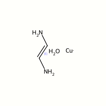 N/C=C/N.O.[Cu]